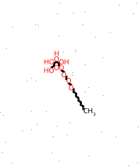 CCCCCCCCCCCOCCOCCOCCOC1OC(CO)C(O)C(O)C1O